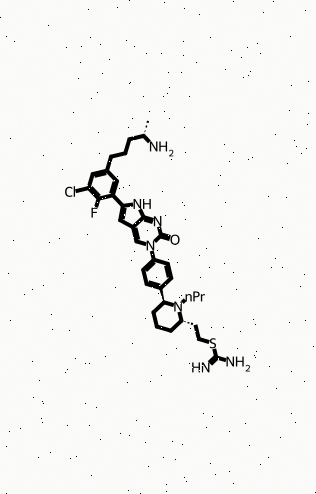 CCCN1[C@H](CCSC(=N)N)CCC[C@H]1c1ccc(-n2cc3cc(-c4cc(CCC[C@H](C)N)cc(Cl)c4F)[nH]c3nc2=O)cc1